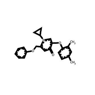 Cc1ccc(Oc2cn(C3CC3)c(COc3ccccc3)cc2=O)c(C)c1